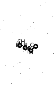 Cc1cc(N2CCN(c3nncc(-c4ccccc4C)n3)CC2)ccn1